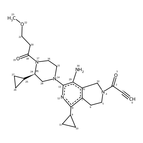 C#CC(=O)N1CCc2c(C3CC3)nc(N3CCN(C(=O)CCOC)[C@H](C4CC4)C3)c(N)c2C1